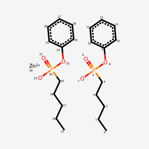 CCCCCP(=O)([O-])Oc1ccccc1.CCCCCP(=O)([O-])Oc1ccccc1.[Zn+2]